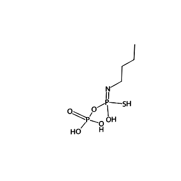 CCCCN=P(O)(S)OP(=O)(O)O